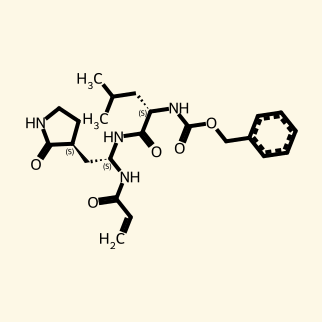 C=CC(=O)N[C@H](C[C@@H]1CCNC1=O)NC(=O)[C@H](CC(C)C)NC(=O)OCc1ccccc1